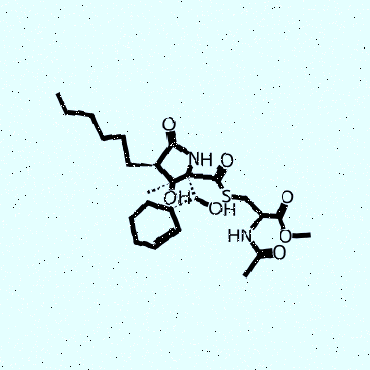 CCCCCC[C@H]1C(=O)N[C@](C(=O)SCC(NC(C)=O)C(=O)OC)(C(O)[C@@H]2C=CCCC2)[C@@]1(C)O